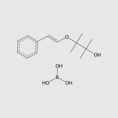 CC(C)(O)C(C)(C)OC=Cc1ccccc1.OB(O)O